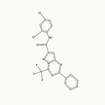 O=C(Nc1ccc(Cl)cc1Cl)c1cc2nc(-c3ccccc3)cc(C(F)(F)F)n2n1